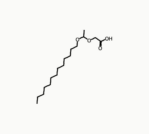 CCCCCCCCCCCCCOC(C)OCC(=O)O